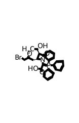 CC(O)[C@H]1C(=O)N(C(C(=O)O)=P(c2ccccc2)(c2ccccc2)c2ccccc2)[C@@H]1CC(=O)CBr